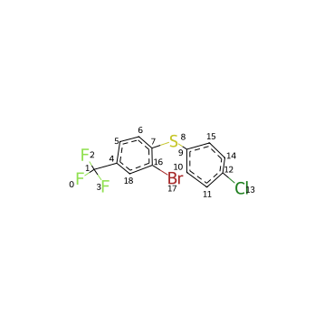 FC(F)(F)c1ccc(Sc2ccc(Cl)cc2)c(Br)c1